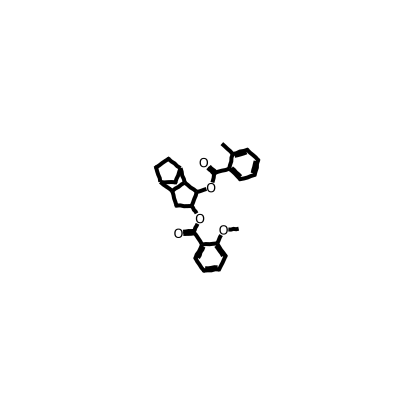 COc1ccccc1C(=O)OC1CC2C3CCC(C3)C2C1OC(=O)c1ccccc1C